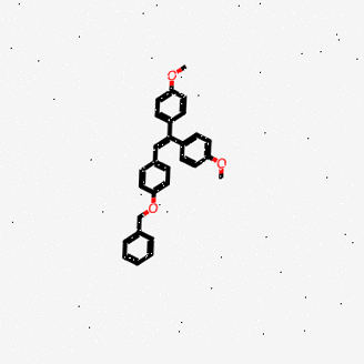 COc1ccc(C(=Cc2ccc(OCc3ccccc3)cc2)c2ccc(OC)cc2)cc1